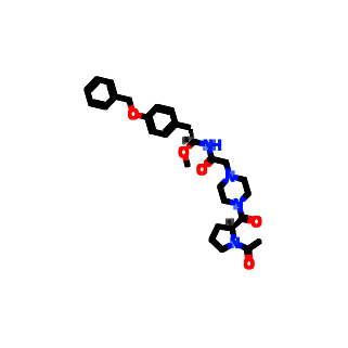 CO[C@H](Cc1ccc(OCc2ccccc2)cc1)NC(=O)CN1CCN(C(=O)[C@@H]2CCCN2C(C)=O)CC1